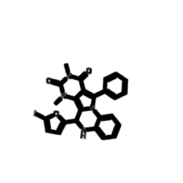 Cn1c(=O)c2c(-c3ccccc3)n3c(c2n(C)c1=O)C(c1ccc(I)o1)Nc1ccccc1-3